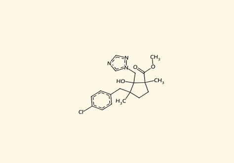 COC(=O)C1(C)CCC(C)(Cc2ccc(Cl)cc2)C1(O)Cn1cncn1